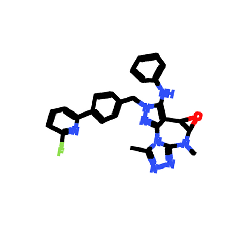 Cc1nnc2n1-c1nn(Cc3ccc(-c4cccc(F)n4)cc3)c(Nc3ccccc3)c1C1OC1N2C